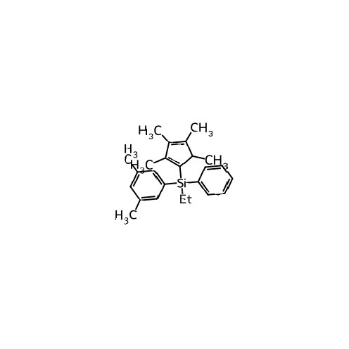 CC[Si](C1=C(C)C(C)=C(C)C1C)(c1ccccc1)c1cc(C)cc(C)c1